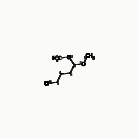 COC(CCCCl)OC